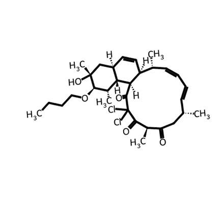 CCCCO[C@@H]1[C@@H](C)[C@H]2[C@@H]3C(=O)C(Cl)(Cl)C(=O)[C@H](C)C(=O)C[C@@H](C)/C=C/C=C\[C@@H](C)[C@@H]3C=C[C@@H]2C[C@@]1(C)O